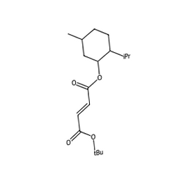 CC1CCC(C(C)C)C(OC(=O)C=CC(=O)OC(C)(C)C)C1